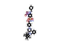 C[C@H]1[C@@H](N(Cc2ccccc2)C2CCN(c3ccc(C(=O)NS(=O)(=O)c4ccc(NCC5CCCCC5)c([N+](=O)[O-])c4)cc3)CC2)C[C@@H]2C[C@@H]1C2(C)C